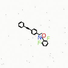 Fc1cccc(F)c1C1=NC(c2ccc(C#Cc3ccccc3)cc2)CO1